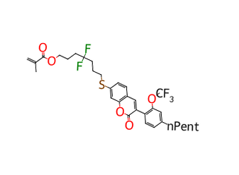 C=C(C)C(=O)OCCCC(F)(F)CCCSc1ccc2cc(-c3ccc(CCCCC)cc3OC(F)(F)F)c(=O)oc2c1